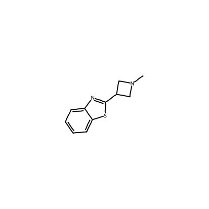 CN1CC(c2nc3ccccc3s2)C1